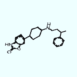 CC(CCNC1CCC(c2ccc3[nH]c(=O)oc3c2)CC1)c1ccccc1